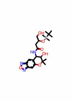 CC1(C)Oc2cc3nonc3cc2C(NC(=O)CC(CO)O[Si](C)(C)C(C)(C)C)C1O